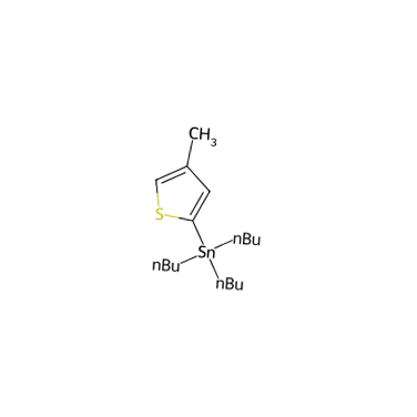 CCC[CH2][Sn]([CH2]CCC)([CH2]CCC)[c]1cc(C)cs1